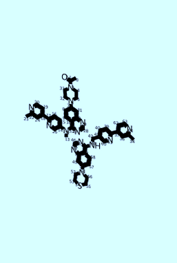 CC(=O)N1CCN(c2ccc3c(N(C)c4ccc(-c5ccnc(C)c5)nc4)ncnc3c2)CC1.Cc1cc(-c2ccc(CNc3ncnc4cc(N5CCSCC5)ccc34)cn2)ccn1